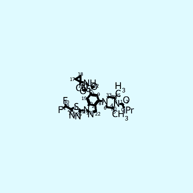 CC(C)C(=O)N1[C@H](C)CN(c2cc(S(=O)(=O)NC3(C#N)CC3)cc3c2cnn3-c2nnc(C(F)F)s2)C[C@@H]1C